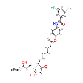 CCCCC[C@H](O)/C=C/[C@H]1[C@H](O)CC(=O)[C@@H]1CCCCCCC(=O)Oc1ccc(NC(=O)c2cc(F)cc(F)c2)cc1